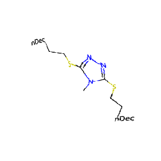 CCCCCCCCCCCCSc1nnc(SCCCCCCCCCCCC)n1C